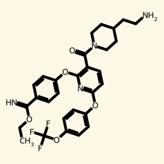 CCOC(=N)c1ccc(Oc2nc(Oc3ccc(OC(F)(F)F)cc3)ccc2C(=O)N2CCC(CCN)CC2)cc1